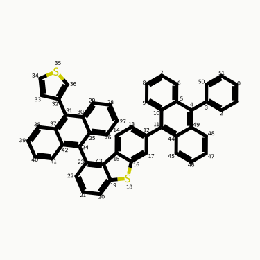 c1ccc(-c2c3ccccc3c(-c3ccc4c(c3)sc3cccc(-c5c6ccccc6c(-c6ccsc6)c6ccccc56)c34)c3ccccc23)cc1